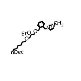 CCCCCCCCCCCCCCCCOCC(COCc1ccccc1CN1[CH]N(C)C=C1)OCC